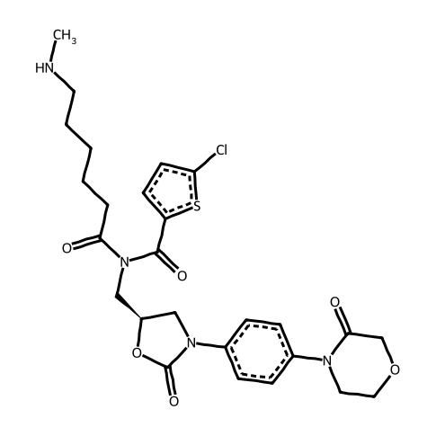 CNCCCCCC(=O)N(C[C@H]1CN(c2ccc(N3CCOCC3=O)cc2)C(=O)O1)C(=O)c1ccc(Cl)s1